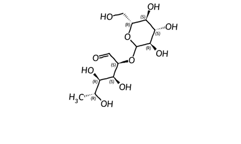 C[C@@H](O)[C@@H](O)[C@H](O)[C@@H](C=O)OC1O[C@H](CO)[C@@H](O)[C@H](O)[C@H]1O